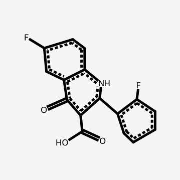 O=C(O)c1c(-c2ccccc2F)[nH]c2ccc(F)cc2c1=O